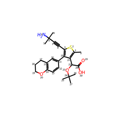 Cc1sc(C#CC(C)(C)N)c(-c2ccc3c(c2)CCCO3)c1C(OC(C)(C)C)C(=O)O